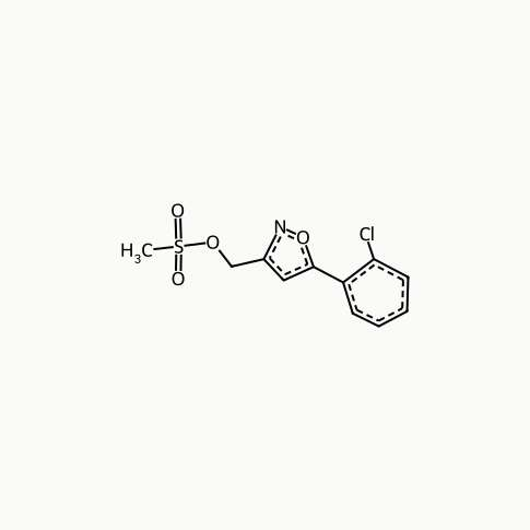 CS(=O)(=O)OCc1cc(-c2ccccc2Cl)on1